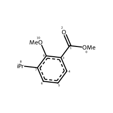 COC(=O)c1cccc(C(C)C)c1OC